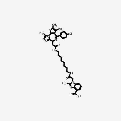 Cc1sc2c(c1C)C(c1ccc(Cl)cc1)=N[C@@H](CC(=O)NCCCCCCCCNC(=O)Cn1c(C)nc3c(C(=O)O)cccc31)c1nnc(C)n1-2